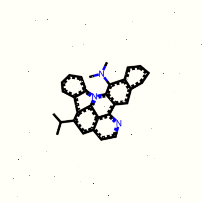 CC(C)c1cc2ccnc3c4cc5ccccc5c(N(C)C)c4n4c5ccccc5c1c4c23